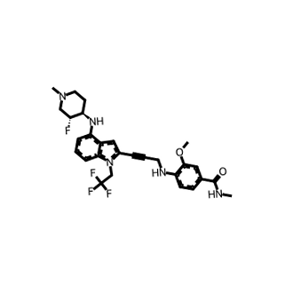 CNC(=O)c1ccc(NCC#Cc2cc3c(N[C@@H]4CCN(C)C[C@H]4F)cccc3n2CC(F)(F)F)c(OC)c1